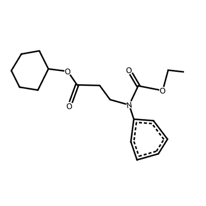 CCOC(=O)N(CCC(=O)OC1CCCCC1)c1ccccc1